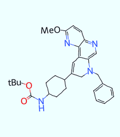 COc1ccc2ncc3c(c2n1)C=C(C1CCC(NC(=O)OC(C)(C)C)CC1)CN3Cc1ccccc1